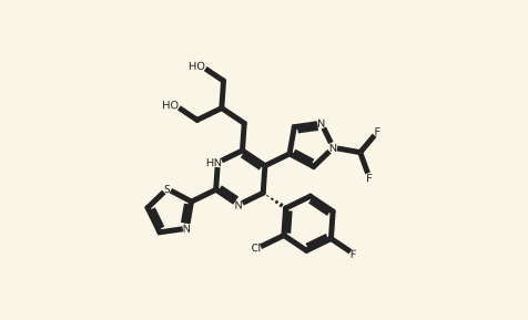 OCC(CO)CC1=C(c2cnn(C(F)F)c2)[C@H](c2ccc(F)cc2Cl)N=C(c2nccs2)N1